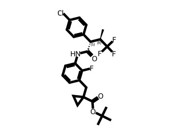 C[C@H]([C@H](C(=O)Nc1cccc(CC2(C(=O)OC(C)(C)C)CC2)c1F)c1ccc(Cl)cc1)C(F)(F)F